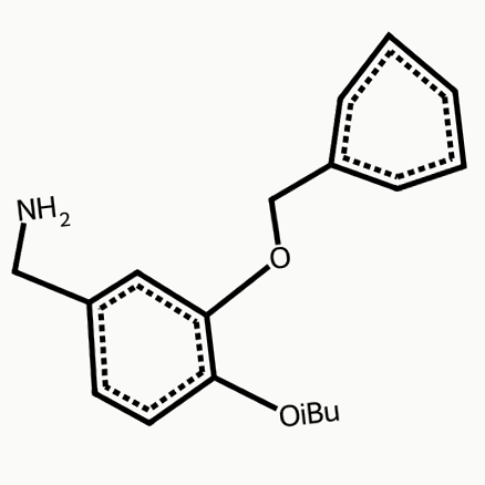 CC(C)COc1ccc(CN)cc1OCc1ccccc1